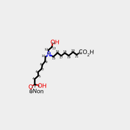 CCCCCCCCCOC(O)CCCCCCCN(CCO)CCCCCCCC(=O)O